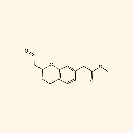 COC(=O)Cc1ccc2c(c1)OC(CC=O)CC2